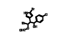 CCC(OC=O)C(c1c[nH]c(Br)c1)C(O)c1ccc(Cl)cc1